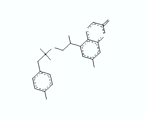 CC(C)(Cc1ccc(F)cc1)NCC(O)c1cc(O)cc2oc(=O)cnc12